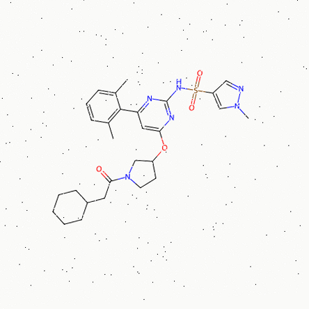 Cc1cccc(C)c1-c1cc(OC2CCN(C(=O)CC3CCCCC3)C2)nc(NS(=O)(=O)c2cnn(C)c2)n1